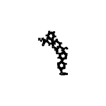 COc1ccc(-c2ccc([C@H](C)N3CCC(CCC(N)=O)(c4ccccc4)OC3=O)cc2)cn1